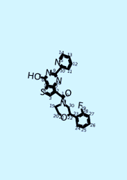 O=C(c1csc2c(O)nc(-c3ccccn3)nc12)N1CCOC(c2ccccc2F)C1